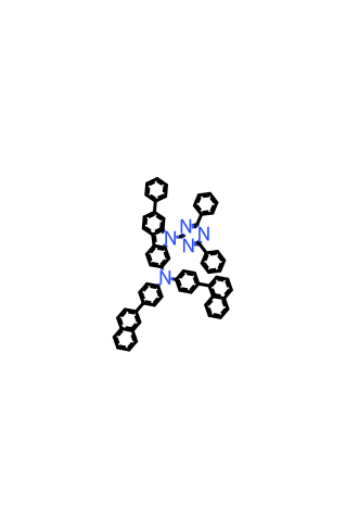 c1ccc(-c2ccc3c4ccc(N(c5ccc(-c6ccc7ccccc7c6)cc5)c5ccc(-c6cccc7ccccc67)cc5)cc4n(-c4nc(-c5ccccc5)nc(-c5ccccc5)n4)c3c2)cc1